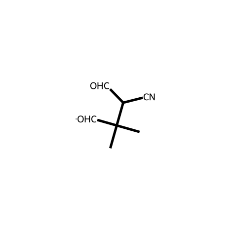 CC(C)([C]=O)C(C#N)C=O